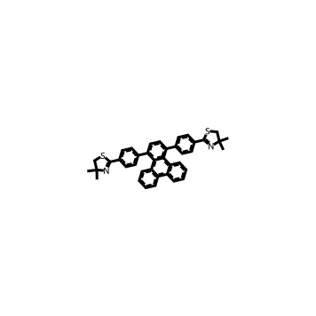 CC1(C)CSC(c2ccc(-c3ccc(-c4ccc(C5=NC(C)(C)CS5)cc4)c4c5ccccc5c5ccccc5c34)cc2)=N1